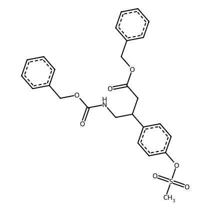 CS(=O)(=O)Oc1ccc(C(CNC(=O)OCc2ccccc2)CC(=O)OCc2ccccc2)cc1